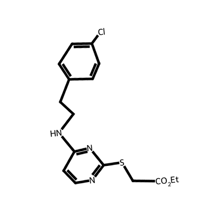 CCOC(=O)CSc1nccc(NCCc2ccc(Cl)cc2)n1